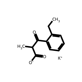 CCc1ccccc1C(=O)C(C)C(=O)[O-].[K+]